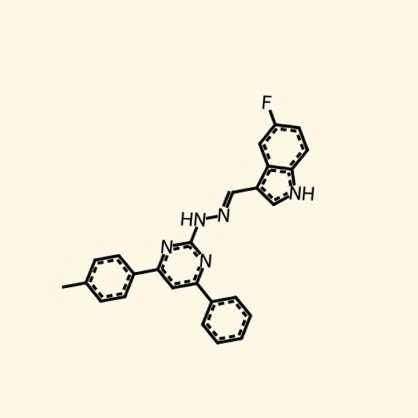 Cc1ccc(-c2cc(-c3ccccc3)nc(N/N=C/c3c[nH]c4ccc(F)cc34)n2)cc1